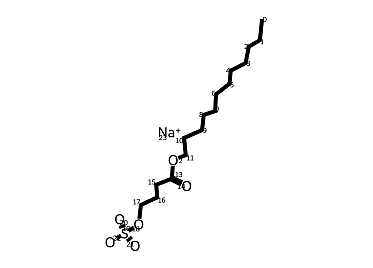 CCCCCCCCCCCCOC(=O)CCCOS(=O)(=O)[O-].[Na+]